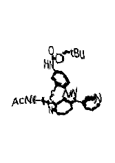 CC(=O)Nc1nc2c(s1)-c1c(c(-c3cccnc3)nn1-c1ccc(NC(=O)OCC(C)(C)C)cc1F)CC2